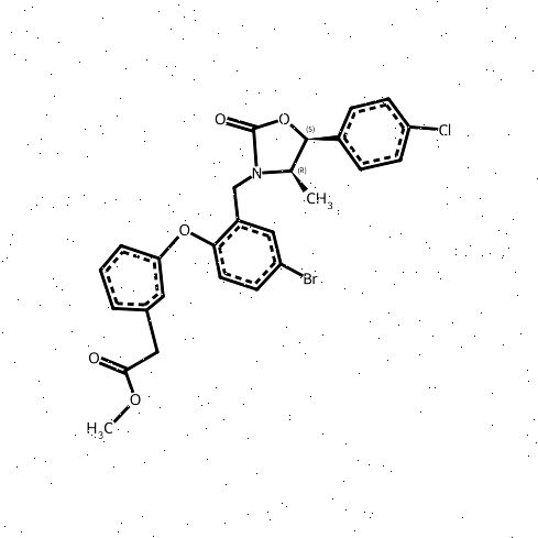 COC(=O)Cc1cccc(Oc2ccc(Br)cc2CN2C(=O)O[C@@H](c3ccc(Cl)cc3)[C@H]2C)c1